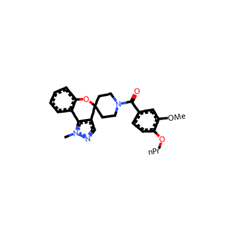 CCCOc1ccc(C(=O)N2CCC3(CC2)Oc2ccccc2-c2c3cnn2C)cc1OC